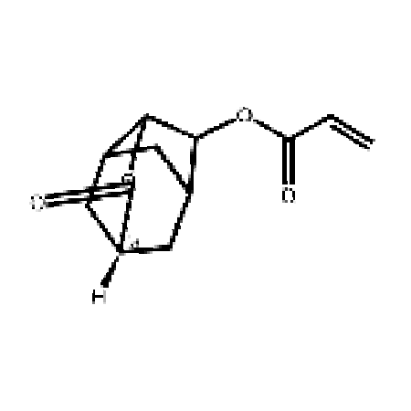 C=CC(=O)OC1C2CC3C[C@@H](C2)C(=O)OC31